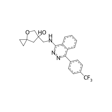 OC1(CNc2nnc(-c3ccc(C(F)(F)F)cc3)c3ccccc23)COC2(CC2)C1